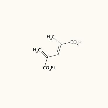 C=C(C=C(C)C(=O)O)C(=O)OCC